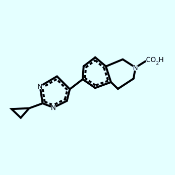 O=C(O)N1CCc2cc(-c3cnc(C4CC4)nc3)ccc2C1